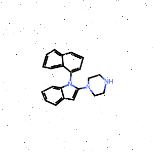 c1ccc2c(-n3c(N4CCNCC4)cc4ccccc43)cccc2c1